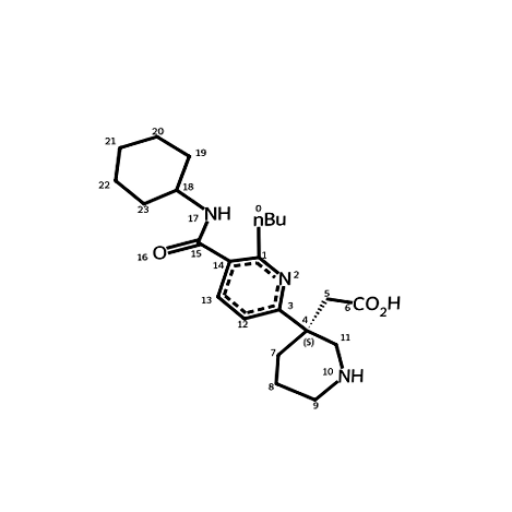 CCCCc1nc([C@]2(CC(=O)O)CCCNC2)ccc1C(=O)NC1CCCCC1